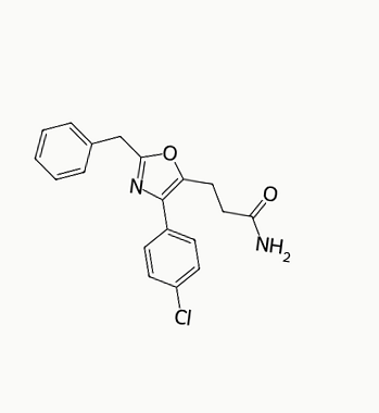 NC(=O)CCc1oc(Cc2ccccc2)nc1-c1ccc(Cl)cc1